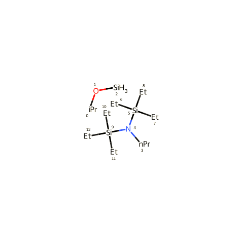 CC(C)O[SiH3].CCCN([Si](CC)(CC)CC)[Si](CC)(CC)CC